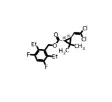 CCc1c(F)cc(F)c(CC)c1COC(=O)[C@@H]1[C@@H](C=C(Cl)Cl)C1(C)C